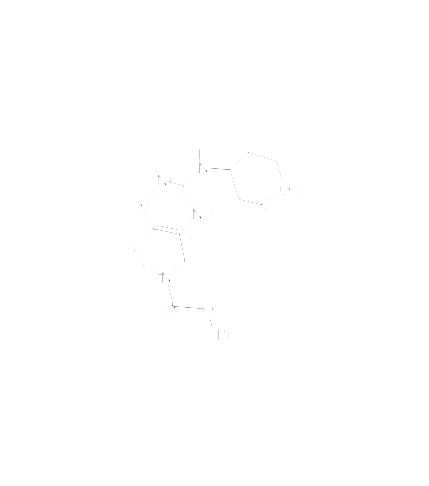 CC(C)(C)OC(=O)N1CCc2cnc(NC3CCOCC3)nc2C1